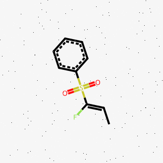 CC=C(F)S(=O)(=O)c1ccccc1